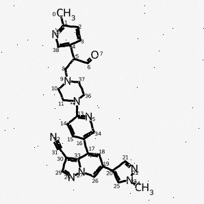 Cc1ccc(C(C=O)CN2CCN(c3ccc(-c4cc(-c5cnn(C)c5)cn5ncc(C#N)c45)cn3)CC2)cn1